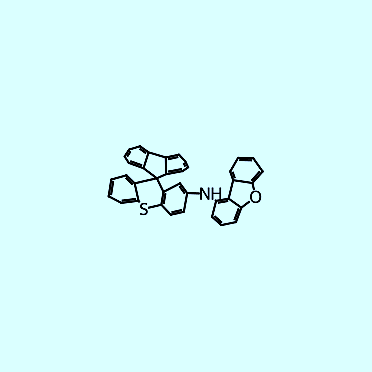 c1ccc2c(c1)Sc1ccc(Nc3cccc4oc5ccccc5c34)cc1C21c2ccccc2-c2ccccc21